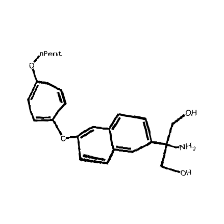 CCCCCOc1ccc(Oc2ccc3cc(C(N)(CO)CO)ccc3c2)cc1